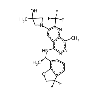 Cc1nnc(N[C@H](C)c2cccc3c2OCC3(F)F)c2cc(N3CC(C)(O)C3)c(C(F)(F)F)nc12